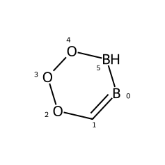 B1=COOOB1